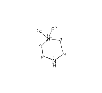 F[N+]1(F)CCNCC1